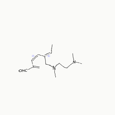 C=C(C=O)/C=C\C(=C/C)CN(C)CCN(C)C